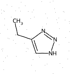 C[CH]c1c[nH]nn1